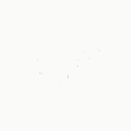 CC(C)(C)OC(=O)n1c2ccncc2c2ccc(-c3ccc([N+](C)(C)C)nc3)cc21